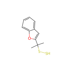 CC(C)(SS)c1cc2ccccc2o1